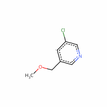 COCc1[c]c(Cl)cnc1